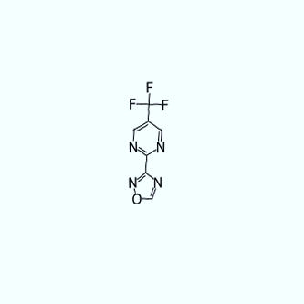 FC(F)(F)c1cnc(-c2ncon2)nc1